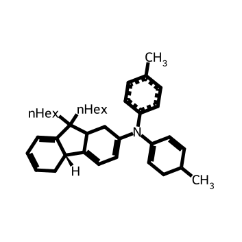 CCCCCCC1(CCCCCC)C2=CC=CC[C@H]2C2=CC=C(N(C3=CCC(C)C=C3)c3ccc(C)cc3)CC21